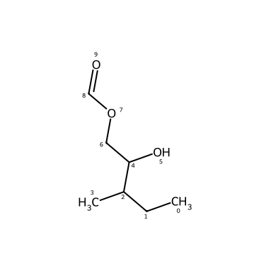 CCC(C)C(O)COC=O